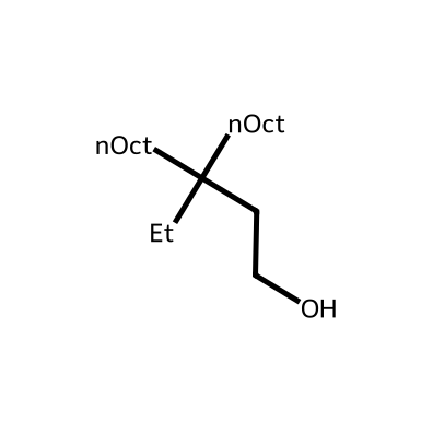 CCCCCCCCC(CC)(CCO)CCCCCCCC